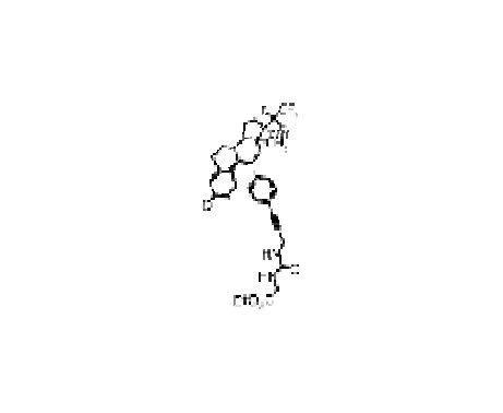 CCOC(=O)CNC(=O)NCC#Cc1ccc([C@H]2C[C@@]3(C)C(CC[C@@]3(O)C(F)(F)C(F)(F)F)C3CCC4=CC(=O)CCC4=C32)cc1